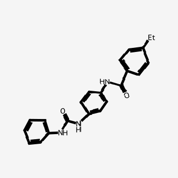 CCc1ccc(C(=O)Nc2ccc(NC(=O)Nc3ccccc3)cc2)cc1